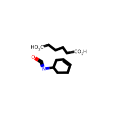 O=C(O)CCCCC(=O)O.O=C=NC1CC=CCC1